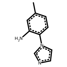 Cc1ccc(-n2ccnc2)c(N)c1